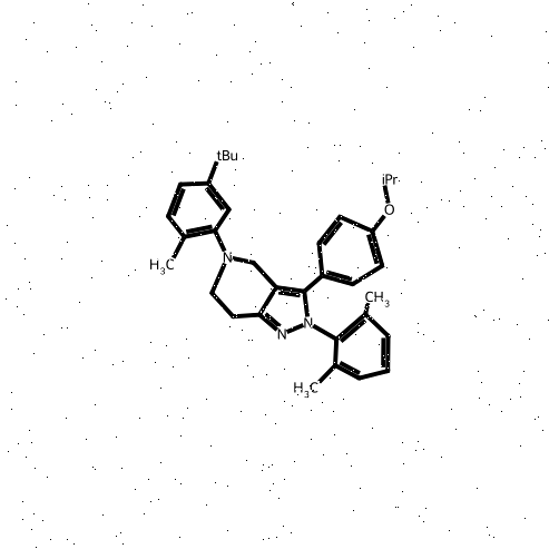 Cc1ccc(C(C)(C)C)cc1N1CCc2nn(-c3c(C)cccc3C)c(-c3ccc(OC(C)C)cc3)c2C1